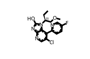 CC[C@@H](COC)n1c(O)nc2ncc(Cl)c(-c3ccc(F)cn3)c21